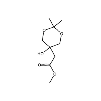 COC(=O)CC1(O)COC(C)(C)OC1